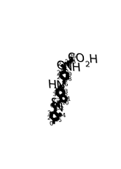 Cc1ccc(-c2csc(C3CCc4cc(NCc5ccc(C(=O)NCCC(=O)O)cc5)ccc43)n2)c(C)c1